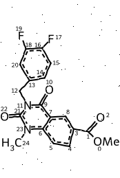 COC(=O)c1ccc2c(c1)c(=O)n(Cc1ccc(F)c(F)c1)c(=O)n2C